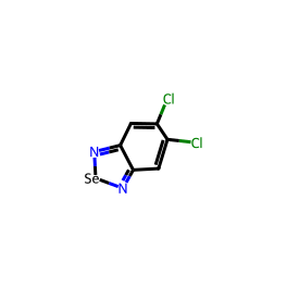 Clc1cc2n[se]nc2cc1Cl